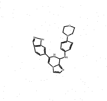 C1=C(c2ccc3cn[nH]c3c2)NC(Nc2ccc(N3CCOCC3)cc2)c2nccn21